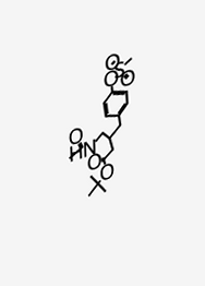 CC(=O)NCC(CC(=O)OC(C)(C)C)Cc1ccc(OS(C)(=O)=O)cc1